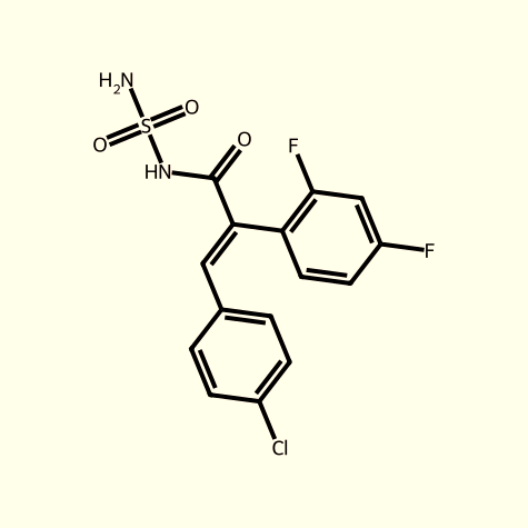 NS(=O)(=O)NC(=O)/C(=C/c1ccc(Cl)cc1)c1ccc(F)cc1F